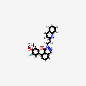 COc1ccc(-c2cccc3cnn(CCc4ccc5ccccc5n4)c(=O)c23)cc1F